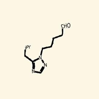 CC(C)Cc1ncnn1CCCCC=O